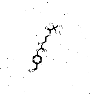 C=Cc1ccc(OC(=O)NCCOC(=O)C(C)(C)CC)cc1